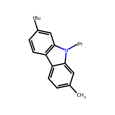 Cc1ccc2c3ccc(C(C)(C)C)cc3n(C(C)C)c2c1